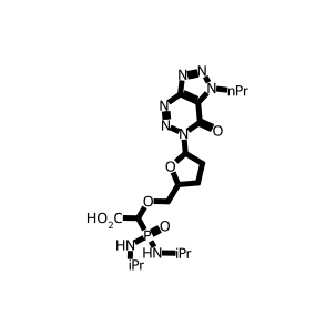 CCCn1nnc2nnn(C3CCC(COC(C(=O)O)P(=O)(NC(C)C)NC(C)C)O3)c(=O)c21